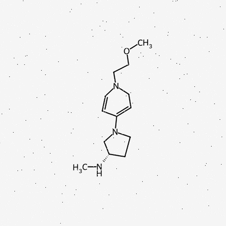 CN[C@H]1CCN(C2=CCN(CCOC)C=C2)C1